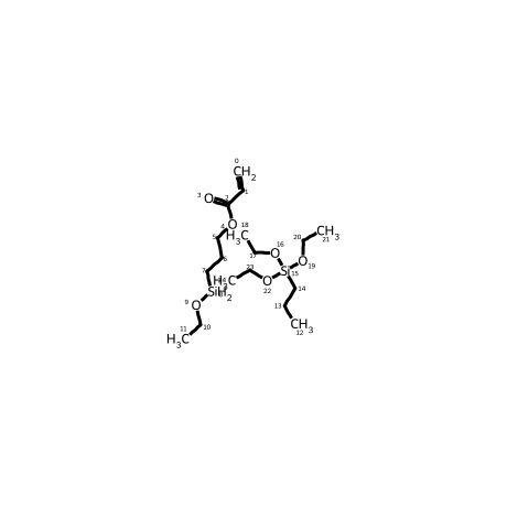 C=CC(=O)OCCC[SiH2]OCC.CCC[Si](OCC)(OCC)OCC